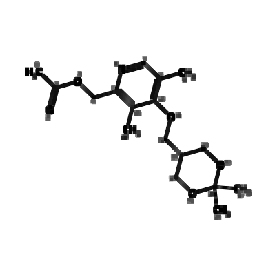 CC(=O)OCc1ncc(C)c(OCC2COC(C)(C)OC2)c1C